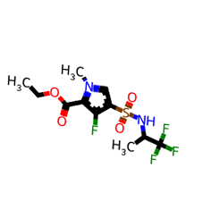 CCOC(=O)c1c(F)c(S(=O)(=O)NC(C)C(F)(F)F)cn1C